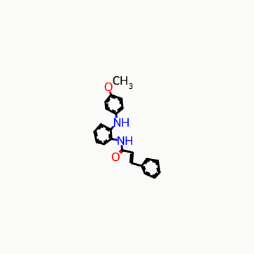 COc1ccc(Nc2ccccc2NC(=O)C=Cc2ccccc2)cc1